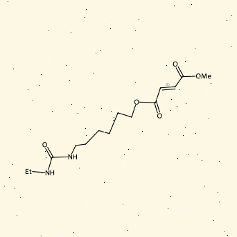 CCNC(=O)NCCCCCCOC(=O)/C=C/C(=O)OC